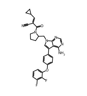 N#CC(=CC1CC1)C(=O)N1CCCC1Cn1cc(-c2ccc(Oc3cccc(F)c3F)cc2)c2c(N)ncnc21